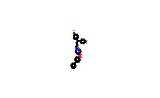 Fc1ccc(C(CCCN2CC=C(Oc3ccc(-c4ccccc4)cc3)CC2)c2ccc(F)cc2)cc1